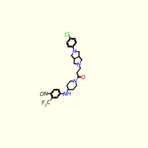 O=Nc1ccc(NC2CCN(C(=O)CCN3CC4CN(c5ccc(Cl)cc5)CC4C3)CC2)cc1C(F)(F)F